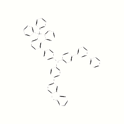 c1ccc(-c2cccc(-c3ccc(N(c4ccc(-c5ccc6oc7ccccc7c6c5)cc4)c4ccc(-c5cccc6c5-c5ccccc5C6(c5ccccc5)c5ccccc5)cc4)cc3)c2)cc1